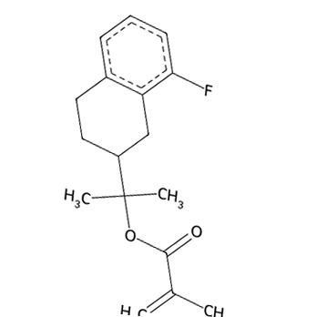 C=C(C)C(=O)OC(C)(C)C1CCc2cccc(F)c2C1